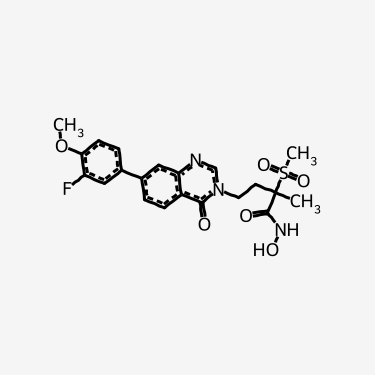 COc1ccc(-c2ccc3c(=O)n(CCC(C)(C(=O)NO)S(C)(=O)=O)cnc3c2)cc1F